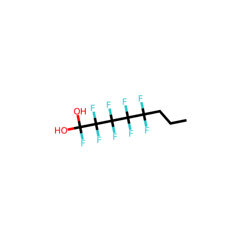 CCCC(F)(F)C(F)(F)C(F)(F)C(F)(F)C(O)(O)F